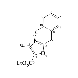 CCOC(=O)c1oc(Cc2ccccc2C)nc1C